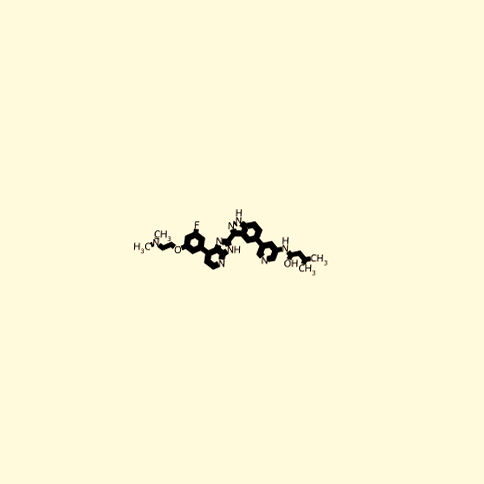 CC(C)CC(O)Nc1cncc(-c2ccc3[nH]nc(-c4nc5c(-c6cc(F)cc(OCCN(C)C)c6)ccnc5[nH]4)c3c2)c1